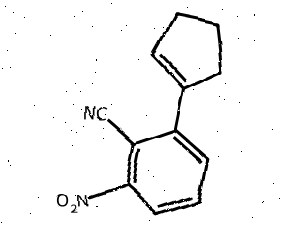 N#Cc1c(C2=CCCC2)cccc1[N+](=O)[O-]